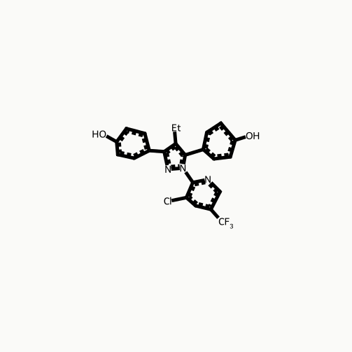 CCc1c(-c2ccc(O)cc2)nn(-c2ncc(C(F)(F)F)cc2Cl)c1-c1ccc(O)cc1